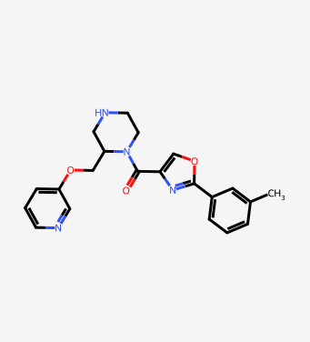 Cc1cccc(-c2nc(C(=O)N3CCNCC3COc3cccnc3)co2)c1